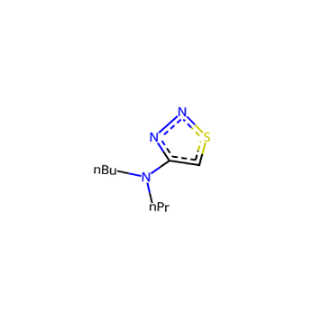 CCCCN(CCC)c1csnn1